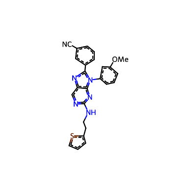 COc1cccc(-n2c(-c3cccc(C#N)c3)nc3cnc(NCCc4cccs4)nc32)c1